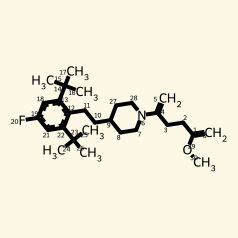 C=C(CCC(=C)N1CCC(CCc2c(C(C)(C)C)cc(F)cc2C(C)(C)C)CC1)OC